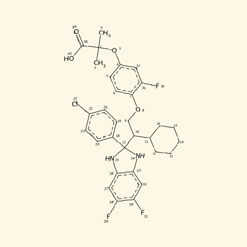 CC(C)(Oc1ccc(OCC(C2CCCCC2)C2(c3ccc(Cl)cc3)Nc3cc(F)c(F)cc3N2)c(F)c1)C(=O)O